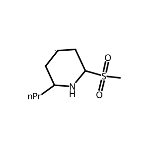 CCCC1C[CH]CC(S(C)(=O)=O)N1